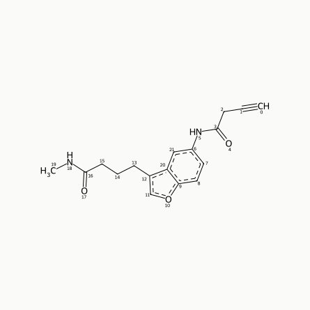 C#CCC(=O)Nc1ccc2occ(CCCC(=O)NC)c2c1